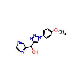 COc1ccc(-n2cc(C(O)c3cnccn3)nn2)cc1